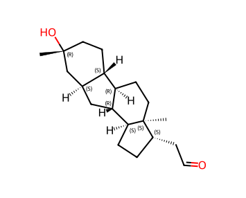 C[C@@]1(O)CC[C@H]2[C@@H](C[C@@H]3[C@@H]2CC[C@@]2(C)[C@H](CC=O)CC[C@@H]32)C1